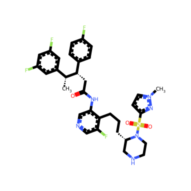 C[C@H](c1cc(F)cc(F)c1)[C@@H](CC(=O)Nc1cncc(F)c1CCC[C@H]1CNCCN1S(=O)(=O)c1ccn(C)n1)c1ccc(F)cc1